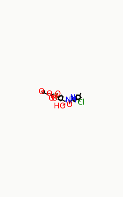 Cc1cc(Cl)c2cc(C(=O)N[C@H](CO)c3ccc(S(=O)(=O)CC(=O)OCC4COC4)cc3)n(C)c2c1